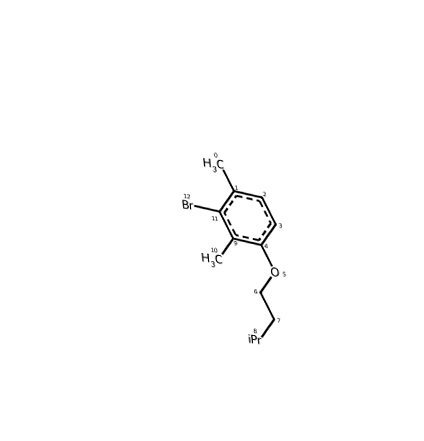 Cc1ccc(OCCC(C)C)c(C)c1Br